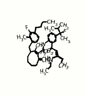 C=C1CCCCC(Cc2ccc(CCCC)c(F)c2C)/C(C)=C\1C(=C)Nc1ccc(C(C)(F)C(C)C)cc1C(=C)/C=C(/CC)NCC